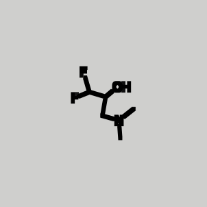 CN(C)CC(O)C(F)F